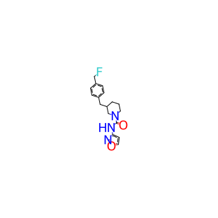 O=C(Nc1ccon1)N1CCCC(Cc2ccc(CF)cc2)C1